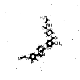 Cc1cc(Nc2nccn3c(-c4ccc(OCC#N)c(F)c4F)cnc23)ccc1C(=O)N1CCN(C(=O)NCCN)CC1